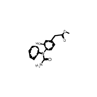 COC(=O)Cc1ccc(N(C(N)=O)c2ccccc2)c(O)c1